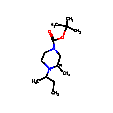 CCC(C)N1CCN(C(=O)OC(C)(C)C)C[C@H]1C